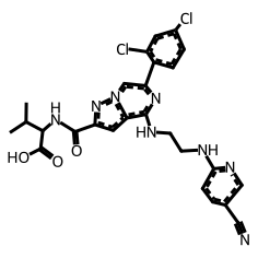 CC(C)C(NC(=O)c1cc2c(NCCNc3ccc(C#N)cn3)nc(-c3ccc(Cl)cc3Cl)cn2n1)C(=O)O